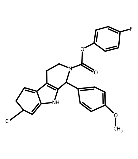 COc1ccc(C2c3[nH]c4c(c3CCN2C(=O)Oc2ccc(F)cc2)=CCC(Cl)C=4)cc1